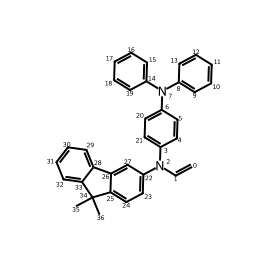 C=CN(c1ccc(N(c2ccccc2)c2ccccc2)cc1)c1ccc2c(c1)-c1ccccc1C2(C)C